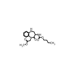 CCCCOC(=O)NC1CNc2ccccc2N(CC(=O)OC)C1=O